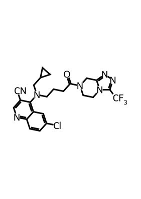 N#Cc1cnc2ccc(Cl)cc2c1N(CCCC(=O)N1CCn2c(nnc2C(F)(F)F)C1)CC1CC1